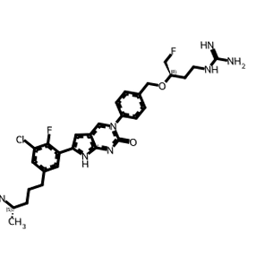 C[C@H](N)CCCc1cc(Cl)c(F)c(-c2cc3cn(-c4ccc(CO[C@@H](CF)CCNC(=N)N)cc4)c(=O)nc3[nH]2)c1